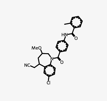 COC1CC(CC#N)c2cc(Cl)ccc2N(C(=O)c2ccc(NC(=O)c3ccccc3C)cc2)C1